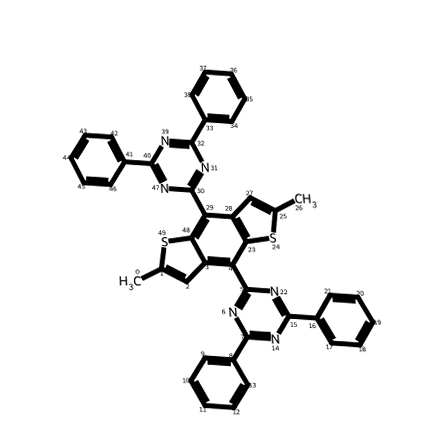 Cc1cc2c(-c3nc(-c4ccccc4)nc(-c4ccccc4)n3)c3sc(C)cc3c(-c3nc(-c4ccccc4)nc(-c4ccccc4)n3)c2s1